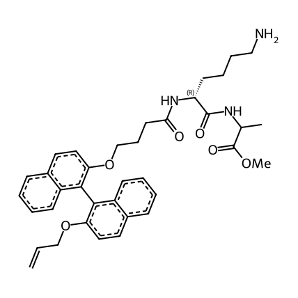 C=CCOc1ccc2ccccc2c1-c1c(OCCCC(=O)N[C@H](CCCCN)C(=O)NC(C)C(=O)OC)ccc2ccccc12